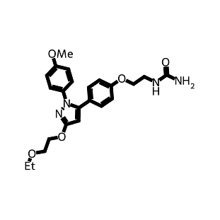 CCOCCOc1cc(-c2ccc(OCCNC(N)=O)cc2)n(-c2ccc(OC)cc2)n1